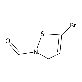 O=CN1CC=C(Br)S1